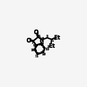 CCC(CC)CN1C(=O)C(=O)c2ccccc21